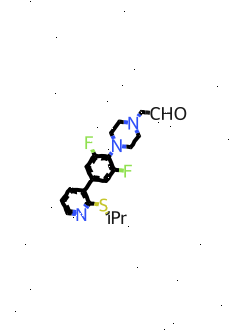 CC(C)Sc1ncccc1-c1cc(F)c(N2CCN(CC=O)CC2)c(F)c1